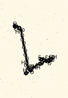 CC[C@@]1(O)C(=O)OCc2c1cc1n(c2=O)Cc2c-1nc1cc(F)c(C)cc1c2CN1CCC([C@H](C)OCNC(=O)CNC(=O)[C@H](Cc2ccccc2)NC(=O)CNC(=O)CNCCOCCOCCOCCOCCOCCOCCOCCNC(=O)C2CCC(CN3C(=O)C=CC3=O)CC2)CC1